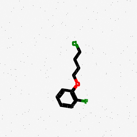 Fc1[c]cccc1OCCCCCl